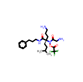 CC(C)CC[C@](CCCN)(C(=O)NCCCc1ccccc1)N(OC(=O)C(F)(F)F)C(=O)CN